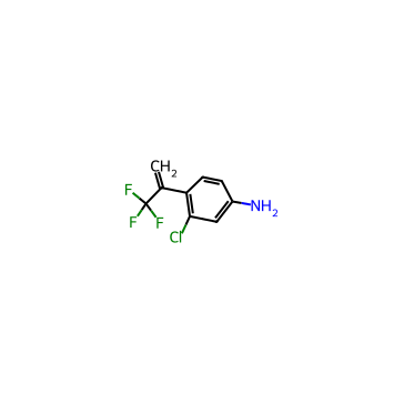 C=C(c1ccc(N)cc1Cl)C(F)(F)F